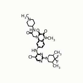 C[C@@H]1CN(c2ncc(Cl)c(Nc3ccc4c(c3)n(CC(=O)NC3CCN(C)CC3)c(=O)c(=O)n4C)n2)C[C@H](C)C1(F)F